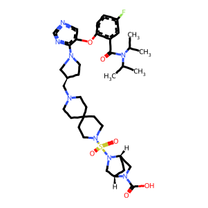 CC(C)N(C(=O)c1cc(F)ccc1Oc1cncnc1N1CC[C@@H](CN2CCC3(CC2)CCN(S(=O)(=O)N2C[C@@H]4C[C@H]2CN4C(=O)O)CC3)C1)C(C)C